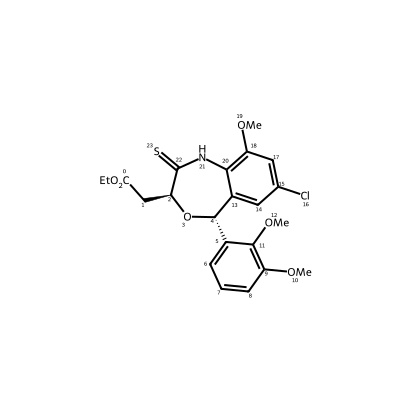 CCOC(=O)C[C@@H]1O[C@@H](c2cccc(OC)c2OC)c2cc(Cl)cc(OC)c2NC1=S